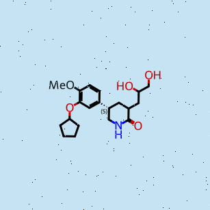 COc1ccc([C@H]2CNC(=O)C(CC(O)CO)C2)cc1OC1CCCC1